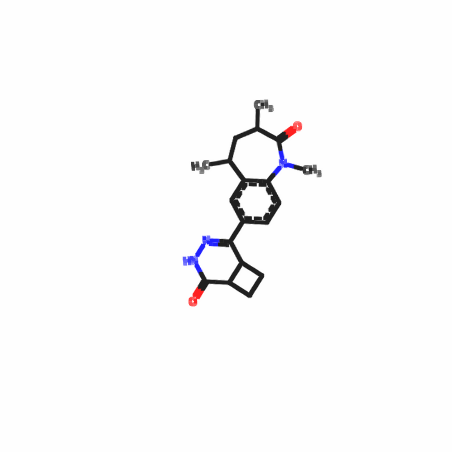 CC1CC(C)c2cc(C3=NNC(=O)C4CCC34)ccc2N(C)C1=O